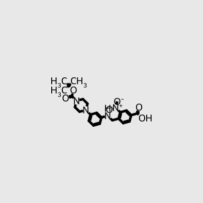 CC(C)(C)OC(=O)N1CCN(c2cccc(NCc3ccc(C(=O)O)cc3[N+](=O)[O-])c2)CC1